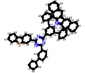 c1ccc(-c2cccc(-c3nc(-c4cc(-c5ccccc5)c(-n5c6cc7ccccc7cc6c6cc7ccccc7cc65)c(-c5ccccc5)c4)nc(-c4ccc5c(c4)sc4ccccc45)n3)c2)cc1